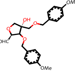 COc1ccc(COC[C@]2(O)CO[C@H](C=O)C2OCc2ccc(OC)cc2)cc1